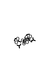 CC(C)C[C@@H](OP(N)(=O)O[C@H](CC(C)C)C1OCCO1)C1OCCO1